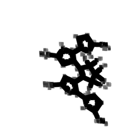 Cc1ccc(-c2sc(C)cc2C2=C(c3cc(C)sc3-c3ccc(C)s3)C(F)(F)C(F)(F)C2(F)F)s1